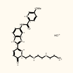 COc1ccc(C(=O)Nc2ccc3oc(-c4ccc(=O)n(CCOCCOCCN)n4)nc3c2)nc1.Cl